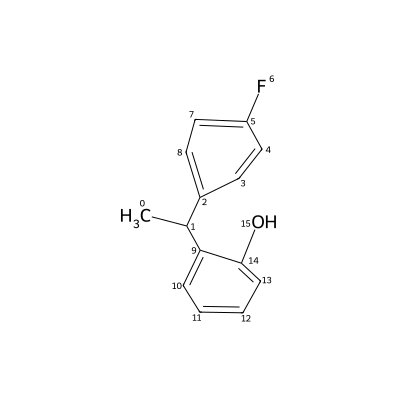 CC(c1ccc(F)cc1)c1ccccc1O